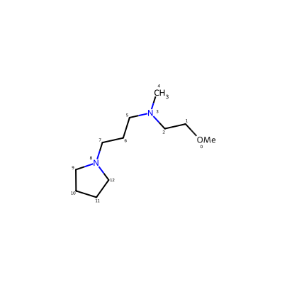 COCCN(C)CCCN1CCCC1